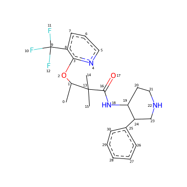 CC(Oc1ncccc1C(F)(F)F)C(C)(C)C(=O)NC1CCNCC1c1ccccc1